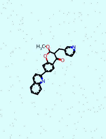 COC1Oc2cc(-c3ccc4ccccc4n3)ccc2C(=O)C1Cc1cccnc1